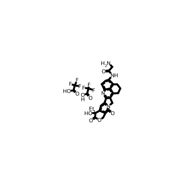 CC[C@@]1(O)C(=O)OCc2c1cc1n(c2=O)Cc2c-1nc1ccc(NC(=O)CN)c3c1c2CCC3.O=C(O)C(F)(F)F.O=C(O)C(F)(F)F